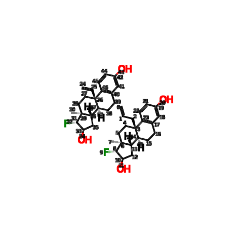 C=CC[C@]12CC[C@]3(C)[C@@H](F)[C@H](O)C[C@H]3[C@@H]1CCc1cc(O)ccc12.C=C[C@]12CC[C@]3(C)[C@@H](F)[C@H](O)C[C@H]3[C@@H]1CCc1cc(O)ccc12